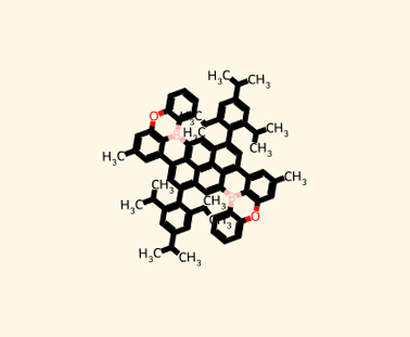 Cc1cc2c3c(c1)-c1cc(-c4c(C(C)C)cc(C(C)C)cc4C(C)C)c4cc5c6c(cc(-c7c(C(C)C)cc(C(C)C)cc7C(C)C)c7cc(c1c4c76)B3c1ccccc1O2)-c1cc(C)cc2c1B5c1ccccc1O2